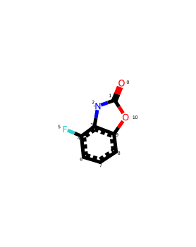 O=C1[N]c2c(F)cccc2O1